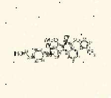 COC1c2c(c3ccccc3n(Cc3ccc(C(F)(F)F)o3)c2=O)N(C)C1C(=O)NC1CCN(CCO)CC1